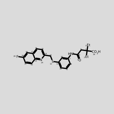 CCC(CC)(CC(=O)Nc1cccc(SCc2ccc3cc(F)ccc3n2)c1)C(=O)O